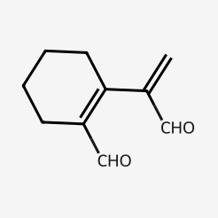 C=C(C=O)C1=C(C=O)CCCC1